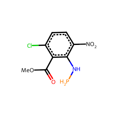 COC(=O)c1c(Cl)ccc([N+](=O)[O-])c1NP